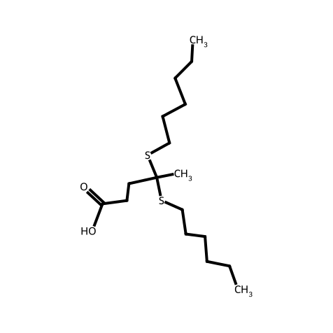 CCCCCCSC(C)(CCC(=O)O)SCCCCCC